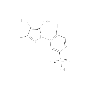 Cc1nn(-c2cc(S(=O)(=O)O)ccc2Cl)c(O)c1N